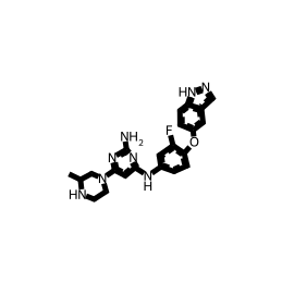 CC1CN(c2cc(Nc3ccc(Oc4ccc5[nH]ncc5c4)c(F)c3)nc(N)n2)CCN1